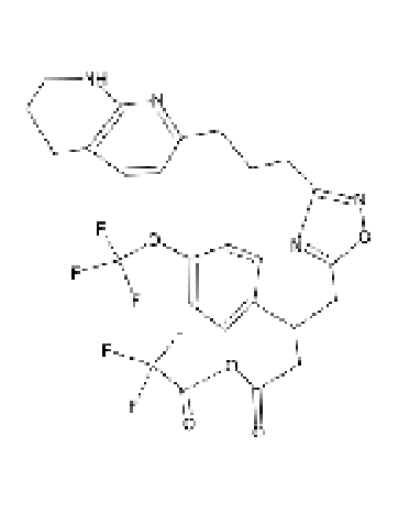 O=C(CC(Cc1nc(CCCc2ccc3c(n2)NCCC3)no1)c1ccc(OC(F)(F)F)cc1)OC(=O)C(F)(F)F